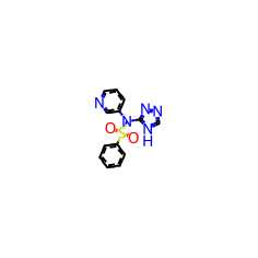 O=S(=O)(c1ccccc1)N(c1cccnc1)c1nnc[nH]1